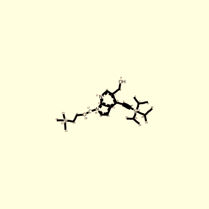 CC(C)[Si](C#Cc1c(CO)cnc2c1ccn2COCC[Si](C)(C)C)(C(C)C)C(C)C